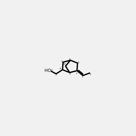 C/C=C1\CC2CC(CO)C1C2